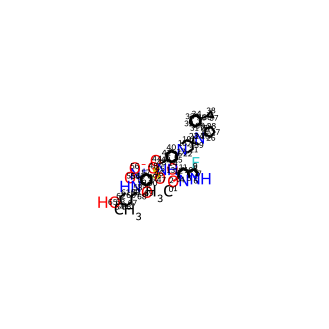 CCOc1nc2[nH]cc(F)c2cc1Oc1cc(N2CCC3(CC2)CN([C@H]2CCC[C@H]2c2ccccc2C2CC2)C3)ccc1C(=O)NS(=O)(=O)c1cc2c(c([N+](=O)[O-])c1)N[C@@H]([C@H]1CC[C@](C)(O)CC1)CO2